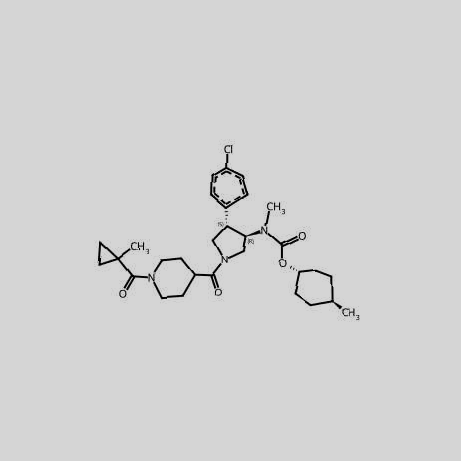 CN(C(=O)O[C@H]1CC[C@H](C)CC1)[C@H]1CN(C(=O)C2CCN(C(=O)C3(C)CC3)CC2)C[C@@H]1c1ccc(Cl)cc1